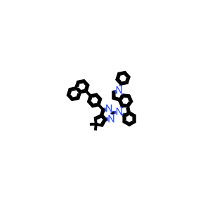 CC1(C)C=c2nc(-n3c4ccccc4c4ccc5c(ccn5-c5ccccc5)c43)nc(-c3ccc(-c4cccc5ccccc45)cc3)c2=C1